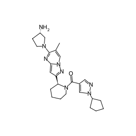 Cc1cn2nc([C@@H]3CCCCN3C(=O)c3cnn(C4CCCC4)c3)cc2nc1N1CC[C@H](N)C1